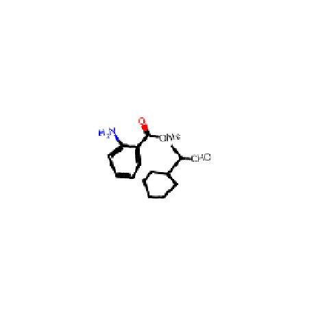 CC(C=O)C1CCCCC1.COC(=O)c1ccccc1N